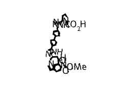 COC(=O)N[C@H]1CCc2ccn3c2C1C(=O)C[C@H](c1ncc(-c2ccc(-c4ccc(-c5nnc(C6CCCN6C(=O)O)[nH]5)cc4)cc2)[nH]1)C3